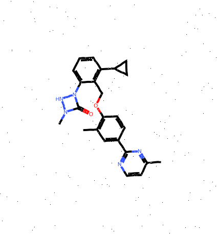 Cc1ccnc(-c2ccc(OCc3c(C4CC4)cccc3-n3[nH]n(C)c3=O)c(C)c2)n1